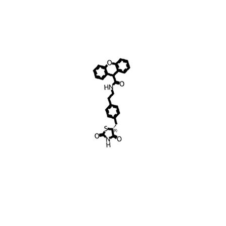 O=C1NC(=O)[C@@H](Cc2ccc(CCNC(=O)C3c4ccccc4Oc4ccccc43)cc2)S1